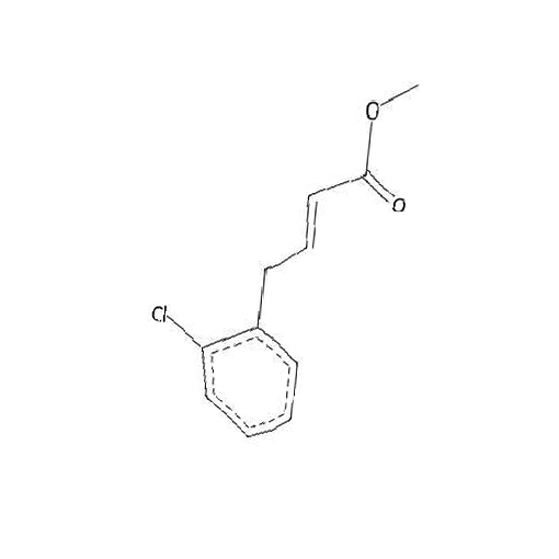 COC(=O)C=CCc1ccccc1Cl